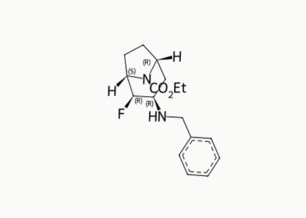 CCOC(=O)N1[C@@H]2CC[C@H]1[C@H](F)[C@H](NCc1ccccc1)C2